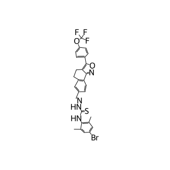 Cc1cc(Br)cc(C)c1NC(=S)N/N=C/c1ccc2c(c1)CCc1c-2noc1-c1ccc(OC(F)(F)F)cc1